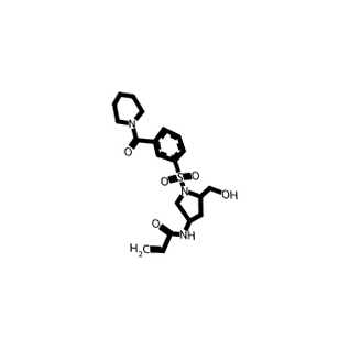 C=CC(=O)NC1CC(CO)N(S(=O)(=O)c2cccc(C(=O)N3CCCCC3)c2)C1